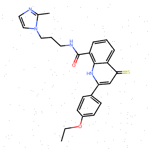 CCOc1ccc(-c2cc(=S)c3cccc(C(=O)NCCCn4ccnc4C)c3[nH]2)cc1